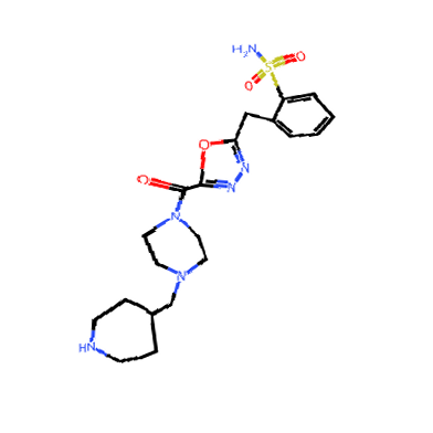 NS(=O)(=O)c1ccccc1Cc1nnc(C(=O)N2CCN(CC3CCNCC3)CC2)o1